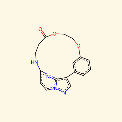 O=C1CCNc2ccn3ncc(c3n2)-c2cccc(c2)OCCO1